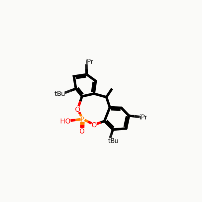 CC(C)c1cc2c(c(C(C)(C)C)c1)OP(=O)(O)Oc1c(cc(C(C)C)cc1C(C)(C)C)C2C